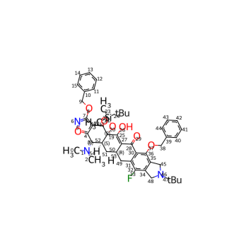 CN(C)[C@@H]1c2onc(OCc3ccccc3)c2C(=O)[C@@]2(O[Si](C)(C)C(C)(C)C)C(O)=C3C(=O)c4c(c(F)c5c(c4OCc4ccccc4)CN(C(C)(C)C)C5)C[C@H]3C[C@@H]12